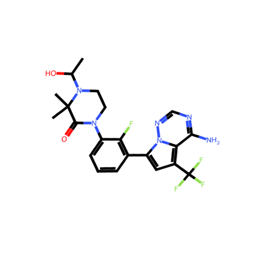 CC(O)N1CCN(c2cccc(-c3cc(C(F)(F)F)c4c(N)ncnn34)c2F)C(=O)C1(C)C